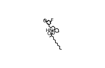 CCCCCCCCCC(C)C(=O)OC1NC(Cc2cc(F)cc(OC)c2)CCC12CCCCC2